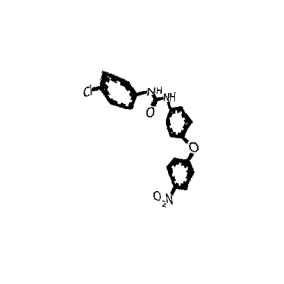 O=C(Nc1ccc(Cl)cc1)Nc1ccc(Oc2ccc([N+](=O)[O-])cc2)cc1